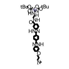 CN(C)CCCOc1ccc2nc(-c3ccc(-c4nc5ccc(C(=O)NCCN/C(=N\C(=O)OC(C)(C)C)NC(=O)OC(C)(C)C)cc5[nH]4)cc3)[nH]c2c1